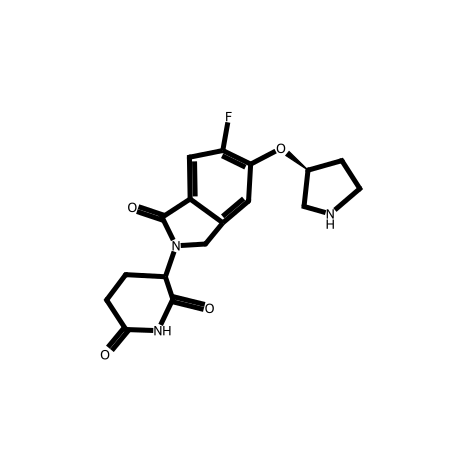 O=C1CCC(N2Cc3cc(O[C@H]4CCNC4)c(F)cc3C2=O)C(=O)N1